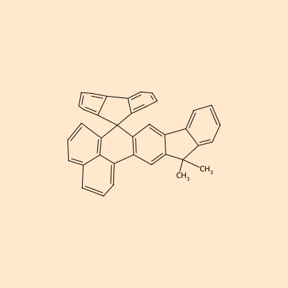 CC1(C)c2ccccc2-c2cc3c(cc21)-c1cccc2cccc(c12)C31c2ccccc2-c2ccccc21